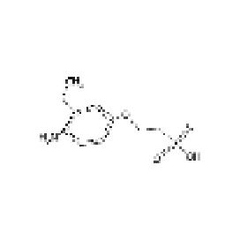 CCc1cc(OCCS(=O)(=O)O)ccc1N